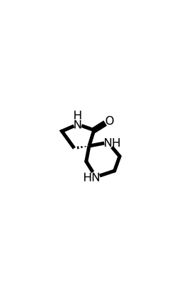 O=C1NCC[C@]12CNCCN2